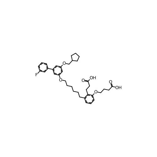 O=C(O)CCCOc1cccc(CCCCCCOc2cc(OCC3CCCC3)cc(-c3cccc(F)c3)c2)c1CCC(=O)O